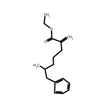 C=C(CCCC(C)Cc1ccccc1)C(=O)OCC